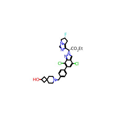 CCOC(=O)[C@@H](c1ncn2c1C[C@@H](F)C2)n1cc2c(Cl)cc(-c3ccc(CN4CCC5(CC4)CC(O)C5)cc3)c(Cl)c2n1